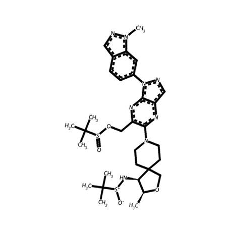 C[C@@H]1OCC2(CCN(c3nc4cnn(-c5ccc6cnn(C)c6c5)c4nc3COS(=O)C(C)(C)C)CC2)[C@@H]1N[S+]([O-])C(C)(C)C